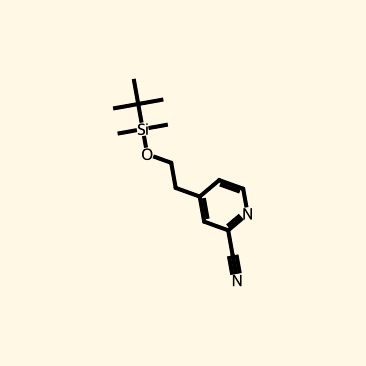 CC(C)(C)[Si](C)(C)OCCc1ccnc(C#N)c1